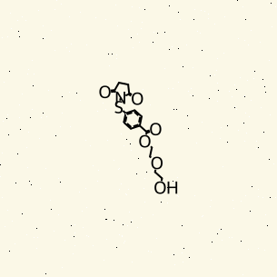 O=C(OCCOCCO)c1ccc(SN2C(=O)CCC2=O)cc1